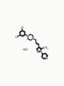 Cc1c(/C=C/CN2CCN(c3cc(Cl)cc(Cl)c3)CC2)cnn1-c1ccncc1.Cl